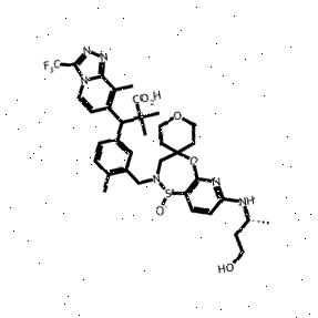 Cc1ccc(C(c2ccn3c(C(F)(F)F)nnc3c2C)C(C)(C)C(=O)O)cc1CN1CC2(CCOCC2)Oc2nc(N[C@H](C)CCO)ccc2[S+]1[O-]